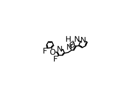 Nc1ncccc1-c1cc(Cc2cnc(Oc3ccccc3F)c(F)c2)no1